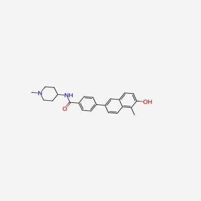 Cc1c(O)ccc2cc(-c3ccc(C(=O)NC4CCN(C)CC4)cc3)ccc12